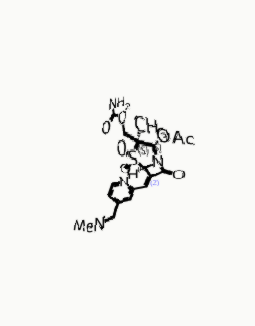 CNCc1ccnc(/C=C2/C(=O)N3[C@@H](OC(C)=O)[C@](C)(COC(N)=O)S(=O)(=O)[C@H]23)c1